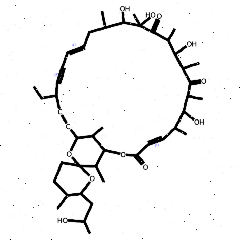 CCC1/C=C\C=C\CC(C)C(O)C(C)(O)C(=O)C(C)C(O)C(C)C(=O)C(C)C(O)C(C)/C=C/C(=O)OC2C(C)C(CC1)OC1(CCC(C)C(CC(C)O)O1)C2C